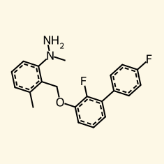 Cc1cccc(N(C)N)c1COc1cccc(-c2ccc(F)cc2)c1F